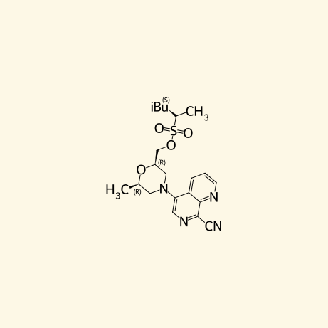 CC[C@H](C)C(C)S(=O)(=O)OC[C@H]1CN(c2cnc(C#N)c3ncccc23)C[C@@H](C)O1